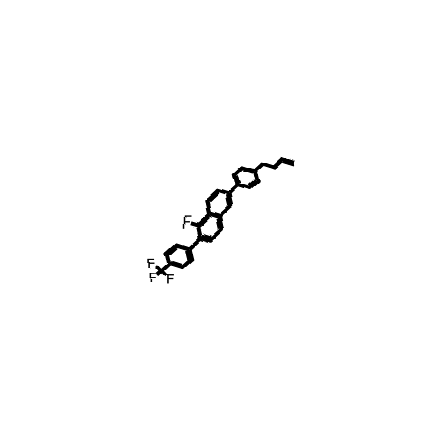 C=CCCc1ccc(-c2ccc3c(F)c(-c4ccc(C(F)(F)F)cc4)ccc3c2)cc1